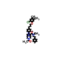 CC(=O)N1CC2CC(c3ccc(CCCOc4cc(C)c(C)cc4Cl)cc3)=C(C(=O)N(C)CCc3ccccc3)C(C1)N2